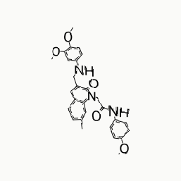 COc1ccc(NC(=O)Cn2c(=O)c(CNc3ccc(OC)c(OC)c3)cc3ccc(C)cc32)cc1